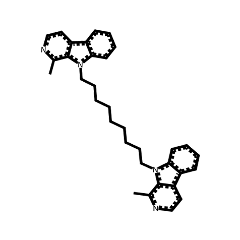 Cc1nccc2c3ccccc3n(CCCCCCCCCn3c4ccccc4c4ccnc(C)c43)c12